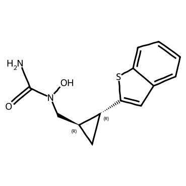 NC(=O)N(O)C[C@@H]1C[C@H]1c1cc2ccccc2s1